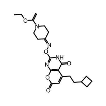 C=C(OCC)N1CCC(=NOc2nc3oc(=O)cc(CCC4CCC4)c3c(=O)[nH]2)CC1